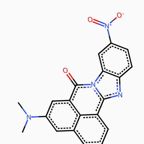 CN(C)c1cc2cccc3c2c(c1)c(=O)n1c2cc([N+](=O)[O-])ccc2nc31